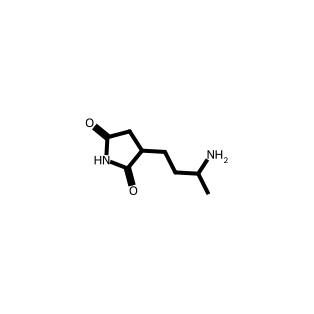 CC(N)CCC1CC(=O)NC1=O